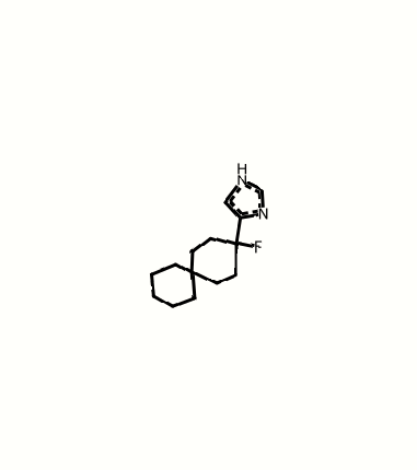 FC1(c2c[nH]cn2)CCC2(CCCCC2)CC1